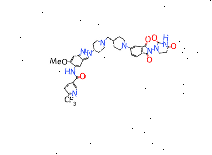 COc1cc2nn(C3CCN(CC4CCN(c5ccc6c(c5)C(=O)N(N5CCC(=O)NC5=O)C6=O)CC4)CC3)cc2cc1NC(=O)c1ccc(C(F)(F)F)nc1